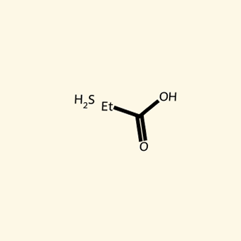 CCC(=O)O.S